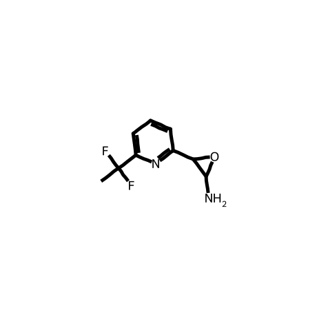 CC(F)(F)c1cccc(C2OC2N)n1